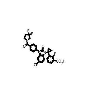 O=C(O)c1cccc(C2(n3c(=O)n(-c4ccc(C(=O)N5CCC(F)(F)C5)cc4)c4cc(Cl)ccc43)CC2)c1F